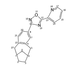 [CH]1C2CCC1Cc1cc(-c3noc(-c4ccccn4)n3)ccc1C2